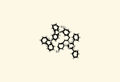 CCC1=CC=C(C[C@H](C)Cc2ccc(CC)c(-n3c4ccccc4c4cc(-n5c6ccccc6c6ccccc65)ccc43)c2)[C@@H](c2nc(-c3ccccc3)nc(-c3ccccc3)n2)C1